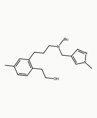 CCC(C)N(CCCc1cc(C)ccc1CCO)Cc1cnn(C)c1